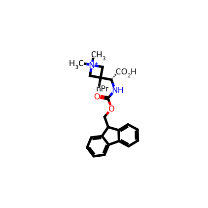 CCCC1([C@@H](NC(=O)OCC2c3ccccc3-c3ccccc32)C(=O)O)C[N+](C)(C)C1